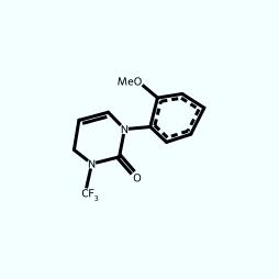 COc1ccccc1N1C=CCN(C(F)(F)F)C1=O